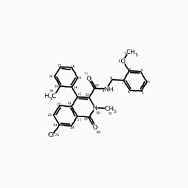 COc1ccccc1CNC(=O)c1c(-c2ccccc2C)c2ccc(Cl)cc2c(=O)n1C